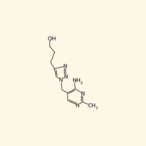 Cc1ncc(Cn2cc(CCCO)nn2)c(N)n1